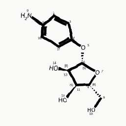 Nc1ccc(O[C@@H]2O[C@H](CO)[C@@H](O)[C@H]2O)cc1